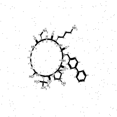 CC(C)(C)[C@@H]1NC(O)COCCNC(=O)[C@@H](CN)NC(=O)[C@@H](CCCCN)NC(=O)[C@@H](Cc2ccc(-c3ccccc3)cc2)NC(=O)[C@@H]2C[C@@H](O)CN2C1=O